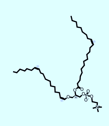 CCCCCC/C=C\CCCCCCCC/C=C\OC[C@H](COP(=O)([O-])OCC[N+](C)(C)C)OC(=O)CCCCCCCCCCC/C=C\CCCCCCCC